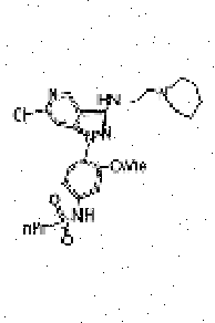 CCCS(=O)(=O)Nc1ccc(-n2nc(NCCN3CCCCC3)c3cnc(Cl)cc32)c(OC)c1